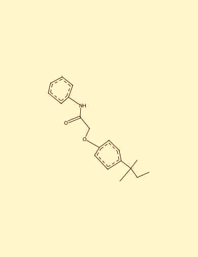 CCC(C)(C)c1ccc(OCC(=O)Nc2c[c]ccc2)cc1